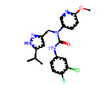 COc1ccc(N(Cc2cc(C(C)C)[nH]n2)C(=O)Nc2ccc(F)c(Cl)c2)cn1